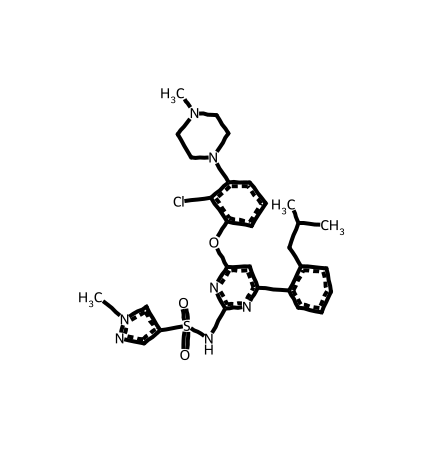 CC(C)Cc1ccccc1-c1cc(Oc2cccc(N3CCN(C)CC3)c2Cl)nc(NS(=O)(=O)c2cnn(C)c2)n1